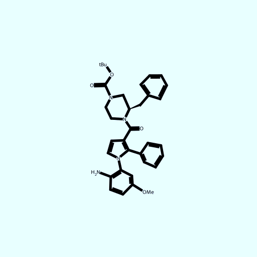 COc1ccc(N)c(-n2ccc(C(=O)N3CCN(C(=O)OC(C)(C)C)C[C@H]3Cc3ccccc3)c2-c2ccccc2)c1